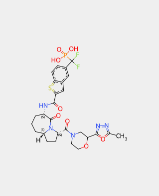 Cc1nnc(C2CN(C(=O)[C@@H]3CC[C@@H]4CCC[C@H](NC(=O)c5cc6cc(C(F)(F)P(=O)(O)O)ccc6s5)C(=O)N43)CCO2)o1